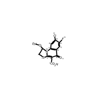 CCOC1CSc2c(C(=O)O)c(=O)c3cc(F)c(Cl)cc3n21